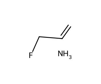 C=CCF.N